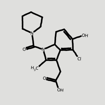 CC1=C(CC(=O)O)C2=C(Cl)C(O)=CCC2N1C(=O)N1CCCCC1